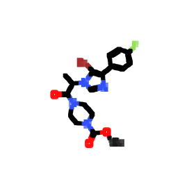 CC(C(=O)N1CCN(C(=O)OC(C)(C)C)CC1)n1cnc(-c2ccc(F)cc2)c1Br